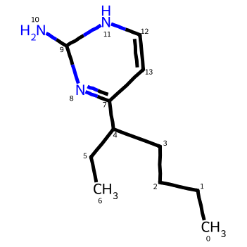 CCCCC(CC)C1=NC(N)NC=C1